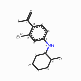 C=C(C)c1ccc(NC2CCCCC2C)cc1CC